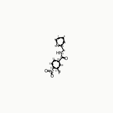 O=C(NCc1ccccn1)c1ccc([N+](=O)[O-])c(F)c1